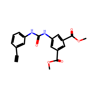 C#Cc1cccc(NC(=O)Nc2cc(C(=O)OC)cc(C(=O)OC)c2)c1